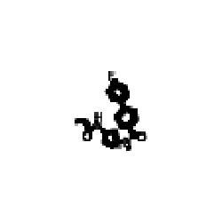 CCC(=O)NC1CC[C@H](N(C)C(=O)c2ccc(-c3ccc(F)cc3)cc2)C1